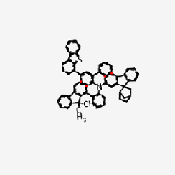 CC1(C)c2ccccc2-c2cccc(-c3ccccc3N(c3ccc4c(c3)C3(CC5CCC3C5)c3ccccc3-4)c3ccc(-c4cccc5c4sc4ccccc45)cc3-c3ccccc3)c21